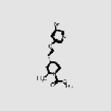 C[C@H]1C[C@H](CCOc2cncc(Br)c2)CCN1C(=O)OC(C)(C)C